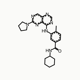 Cc1ccc(C(=O)NC2CCCCC2)cc1Nc1ncnc2cnc(N3CCCC3)nc12